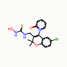 CC1(C)Oc2ccc(Br)cc2C(n2ccccc2=O)=C1CNC(=S)NO